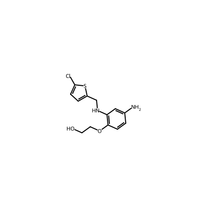 Nc1ccc(OCCO)c(NCc2ccc(Cl)s2)c1